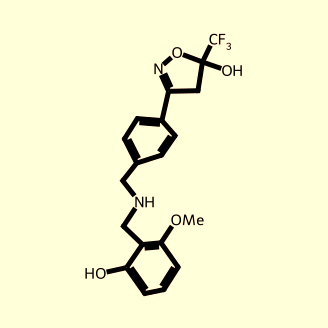 COc1cccc(O)c1CNCc1ccc(C2=NOC(O)(C(F)(F)F)C2)cc1